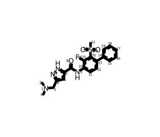 CN(C)Cc1cc(C(=O)Nc2ccc(-c3ccccc3)c(S(C)(=O)=O)c2F)[nH]n1